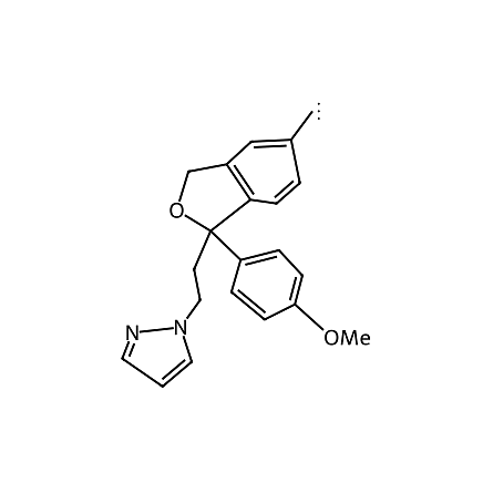 [C]c1ccc2c(c1)COC2(CCn1cccn1)c1ccc(OC)cc1